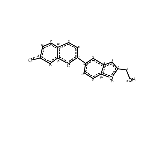 OCc1cc2cc(-c3ccc4ccc(Cl)cc4n3)ccc2o1